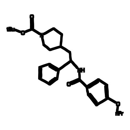 CCCOc1ccc(C(=O)NC(CC2CCN(C(=O)OC(C)(C)C)CC2)c2ccccc2)cc1